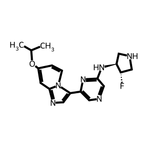 CC(C)Oc1ccn2c(-c3cncc(N[C@H]4CNC[C@@H]4F)n3)cnc2c1